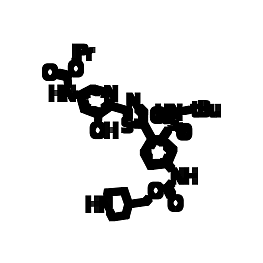 CC(C)OC(=O)Nc1cnc(-c2ncc(-c3ccc(NC(=O)OCC4CCNCC4)cc3S(=O)(=O)NC(C)(C)C)s2)c(O)c1